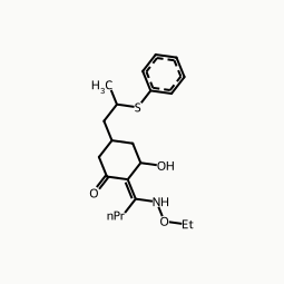 CCCC(NOCC)=C1C(=O)CC(CC(C)Sc2ccccc2)CC1O